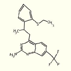 CCSc1ccccc1C(C)Cc1nc(N)nc2cc(C(F)(F)F)ccc12